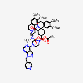 CCN1CCc2cc(OC)c(OC)cc2C1C1CC(C(=O)N2CCN(c3ncnc4c3cnn4Cc3ccncc3)CC2)CCC12c1cc(OC)c(OC)cc1CCN2C(=O)CCN(C)C(=O)OCOC(=O)C(C)(C)C